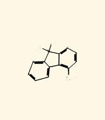 CCC1(CC)c2ccccc2-c2c([N+](=O)[O-])cccc21